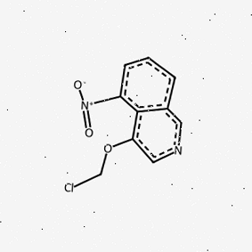 O=[N+]([O-])c1cccc2cncc(OCCl)c12